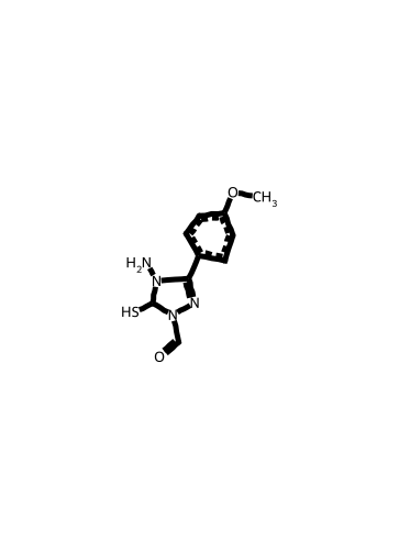 COc1ccc(C2=NN(C=O)C(S)N2N)cc1